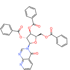 O=C(OC[C@H]1O[C@@H](n2cnc3ncccc3c2=O)[C@H](OC(=O)c2ccccc2)[C@H]1OC(=O)c1ccccc1)c1ccccc1